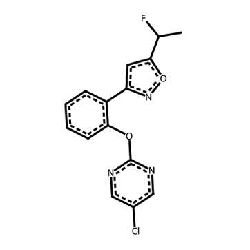 CC(F)c1cc(-c2ccccc2Oc2ncc(Cl)cn2)no1